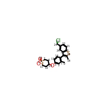 Cc1cc(OC2CCS(=O)(=O)CC2)ccc1-c1c(C)sc2ccc(CCl)cc12